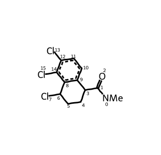 CNC(=O)C1CCC(Cl)c2c1ccc(Cl)c2Cl